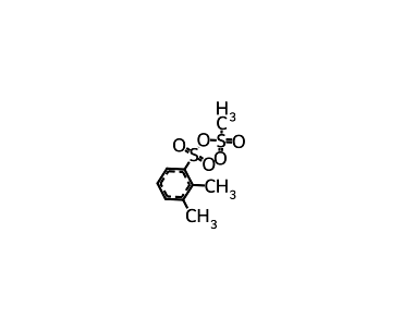 Cc1cccc(S(=O)(=O)OS(C)(=O)=O)c1C